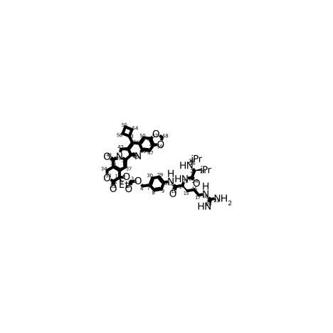 CC[C@@]1(OC(=O)OCc2ccc(NC(=O)[C@H](CCCNC(=N)N)NC(=O)[C@@H](NC(C)C)C(C)C)cc2)C(=O)OCc2c1cc1n(c2=O)Cc2c-1nc1cc3c(cc1c2C1CCC1)OCO3